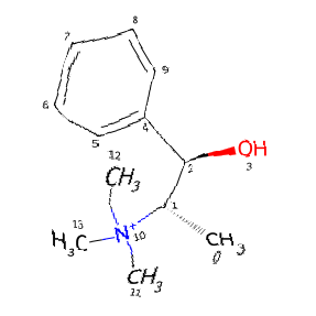 C[C@@H]([C@H](O)c1ccccc1)[N+](C)(C)C